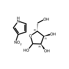 O=[N+]([O-])c1cc[nH]c1.OC[C@H]1OC(O)[C@H](O)[C@@H]1O